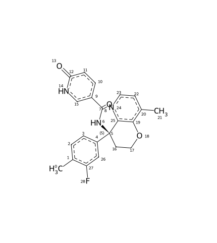 Cc1ccc([C@@]2(NC(=O)c3ccc(=O)[nH]c3)CCOc3c(C)ccnc32)cc1F